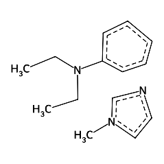 CCN(CC)c1ccccc1.Cn1ccnc1